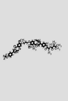 COc1cc2c(cc1OCCCOc1cc3c(cc1OC)C(C)(O)N1C=C(c4ccc(NC(=O)[C@H](C)NC(=O)[C@@H](N)C(C)C)cc4)C[C@H]1C=N3)N=C[C@@H]1CC(c3ccc(OC(F)(F)F)cc3)=CN1C2=O